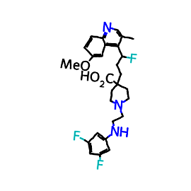 COc1ccc2ncc(C)c(C(F)CCC3(C(=O)O)CCN(CCNc4cc(F)cc(F)c4)CC3)c2c1